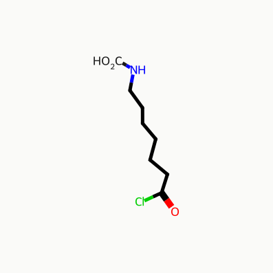 O=C(Cl)CCCCCCNC(=O)O